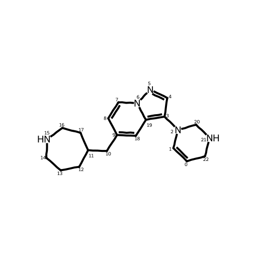 C1=CN(c2cnn3ccc(CC4CCCNCC4)cc23)CNC1